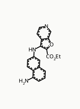 CCOC(=O)c1oc2cnccc2c1Nc1ccc2c(N)cccc2c1